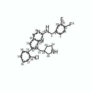 Fc1ccc(CNc2ncc3cc(-c4ccccc4Cl)n(CC4CCNC4)c3n2)cc1F